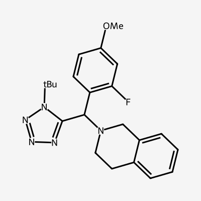 COc1ccc(C(c2nnnn2C(C)(C)C)N2CCc3ccccc3C2)c(F)c1